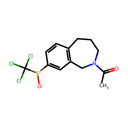 CC(=O)N1CCCc2ccc([S+]([O-])C(Cl)(Cl)Cl)cc2C1